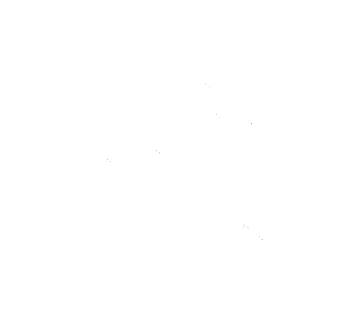 C=NN/C=C(\C)c1ccc(Nc2nc(-c3ccc4cc(C(=O)NC5CCOC5)[nH]c4c3)nc3ccsc23)cc1